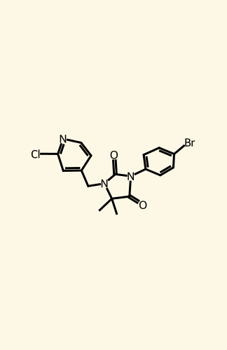 CC1(C)C(=O)N(c2ccc(Br)cc2)C(=O)N1Cc1ccnc(Cl)c1